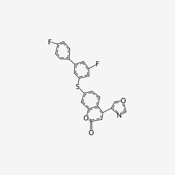 O=c1cc(-c2cocn2)c2ccc(Sc3cc(F)cc(-c4ccc(F)cc4)c3)cc2o1